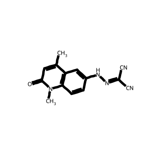 Cc1cc(=O)n(C)c2ccc(NN=C(C#N)C#N)cc12